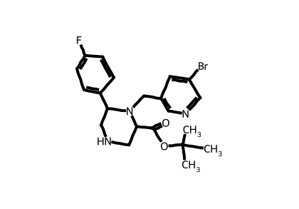 CC(C)(C)OC(=O)C1CNCC(c2ccc(F)cc2)N1Cc1cncc(Br)c1